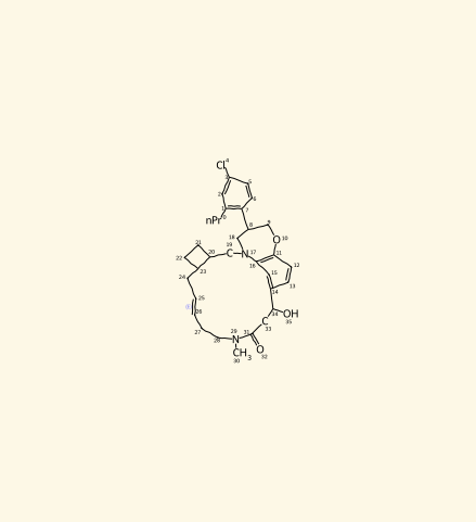 CCCc1cc(Cl)ccc1C1COc2ccc3cc2N(C1)CC1CCC1C/C=C/CCN(C)C(=O)CC3O